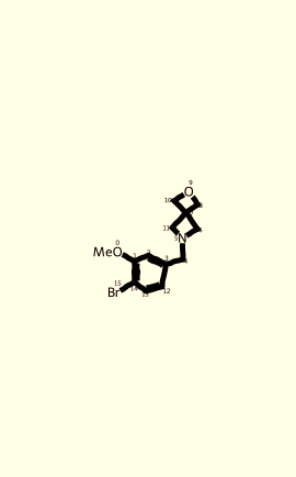 COc1cc(CN2CC3(COC3)C2)ccc1Br